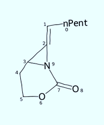 CCCCCC=C1C2CCOC(=O)N12